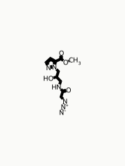 COC(=O)c1ccnn1CC(O)CNC(=O)CN=[N+]=[N-]